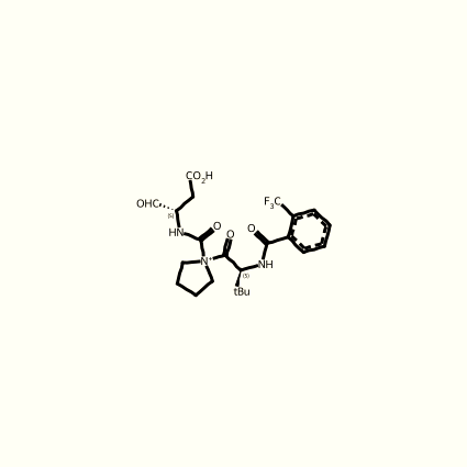 CC(C)(C)[C@H](NC(=O)c1ccccc1C(F)(F)F)C(=O)[N+]1(C(=O)N[C@H](C=O)CC(=O)O)CCCC1